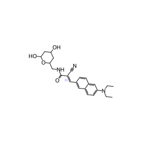 CCN(CC)c1ccc2cc(/C=C(\C#N)C(=O)NCC3CC(O)CC(O)O3)ccc2c1